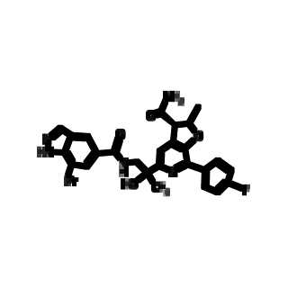 CC(C)c1cc(C(=O)NCC(O)(c2cc3c(c(-c4ccc(F)cc4)n2)OC(C)[C@@H]3C(N)=O)C(F)(F)F)cc2cn[nH]c12